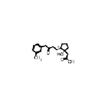 Cc1cccc(CC(=O)CC[C@H]2CCC[C@@]2(O)CC(=O)O)c1